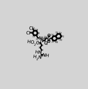 N=C(N)NCCC[C@@H](C(=O)O)N(NCc1ccc(Cl)c(Cl)c1)C(=O)CS(=O)(=O)c1ccc2ccccc2c1